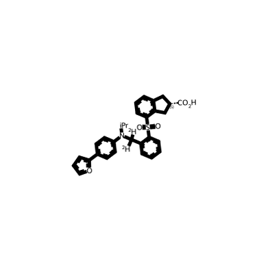 [2H]C([2H])(c1ccccc1S(=O)(=O)c1cccc2c1C[C@@H](C(=O)O)C2)N(c1ccc(-c2ccco2)cc1)C(C)C